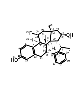 CC(C)[C@@H]1[C@H]2[C@H]3[C@@H](c4ccc(O)cc4C[C@H]3c3ccccc3)[C@@H](F)C[C@]2(C)C[C@H]1O